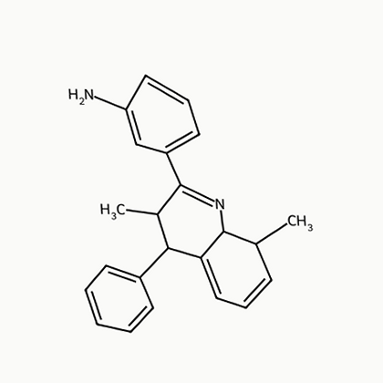 CC1C=CC=C2C1N=C(c1cccc(N)c1)C(C)C2c1ccccc1